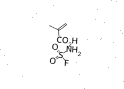 C=C(C)C(=O)O.NS(=O)(=O)F